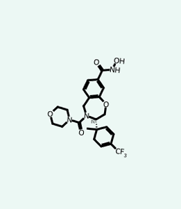 CC1([C@H]2COc3cc(C(=O)NO)ccc3CN2C(=O)N2CCOCC2)C=CC(C(F)(F)F)=CC1